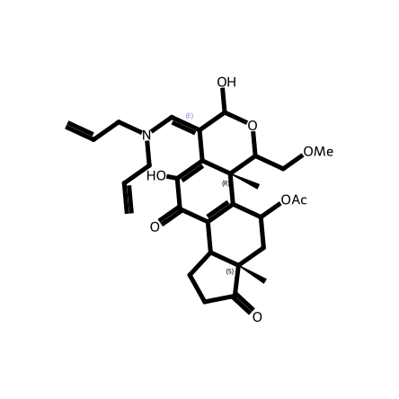 C=CCN(/C=C1\C2=C(O)C(=O)C3=C(C(OC(C)=O)C[C@]4(C)C(=O)CCC34)[C@@]2(C)C(COC)OC1O)CC=C